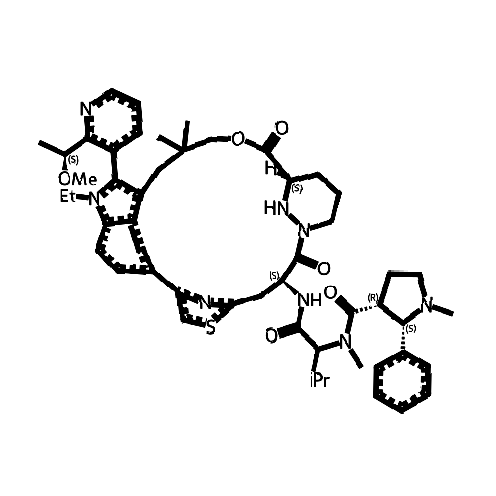 CCn1c(-c2cccnc2[C@H](C)OC)c2c3cc(ccc31)-c1csc(n1)C[C@H](NC(=O)C(C(C)C)N(C)C(=O)[C@@H]1CCN(C)[C@@H]1c1ccccc1)C(=O)N1CCC[C@H](N1)C(=O)OCC(C)(C)C2